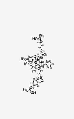 COc1ccccc1Oc1c(OCCOC(=O)Oc2ccc(CON(O)O)cc2)nc(-c2ncccn2)nc1N(C(C)OC(=O)OCCCCON(O)O)S(=O)(=O)c1ccc(C(C)(C)C)cc1